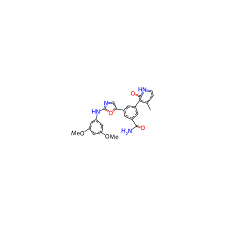 COc1cc(Nc2ncc(-c3cc(C(N)=O)cc(-c4c(C)cc[nH]c4=O)c3)o2)cc(OC)c1